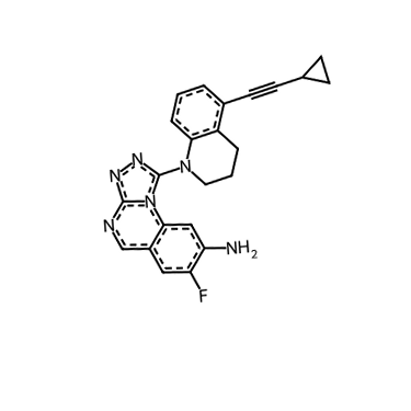 Nc1cc2c(cnc3nnc(N4CCCc5c(C#CC6CC6)cccc54)n32)cc1F